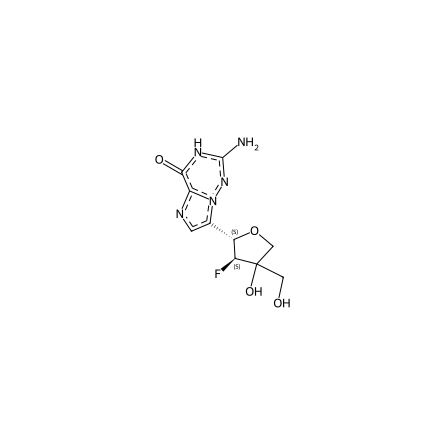 Nc1nn2c([C@@H]3OCC(O)(CO)[C@H]3F)cnc2c(=O)[nH]1